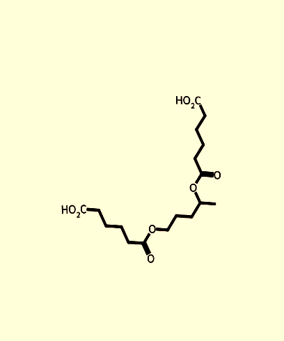 CC(CCCOC(=O)CCCCC(=O)O)OC(=O)CCCCC(=O)O